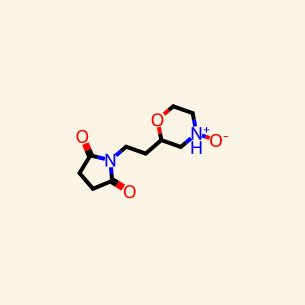 O=C1CCC(=O)N1CCC1C[NH+]([O-])CCO1